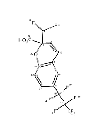 O=C(O)C1(C(F)F)C=Cc2cc(C(F)(F)C(F)(F)C(F)(F)F)ccc2O1